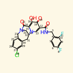 O=C(NCc1ccc(F)cc1F)c1cn2c(c(O)c1=O)C(=O)N1Cc3ccc(Cl)cc3CC2C1